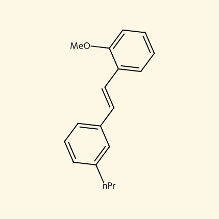 C[CH]Cc1cccc(/C=C/c2ccccc2OC)c1